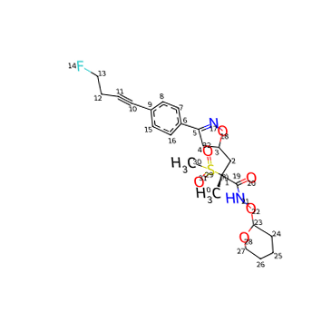 C[C@@](CC1CC(c2ccc(C#CCCF)cc2)=NO1)(C(=O)NOC1CCCCO1)S(C)(=O)=O